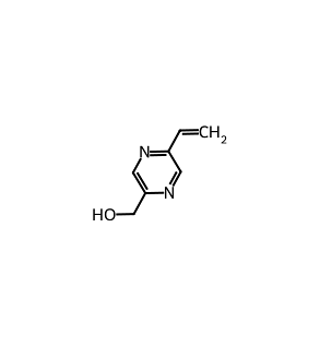 C=Cc1cnc(CO)cn1